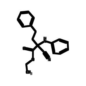 CCOC(=O)C(C#N)(CCc1ccccc1)Nc1ccccc1